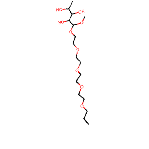 CCCOCCOCCOCCOCCOC(OC)C(O)C(O)C(C)O